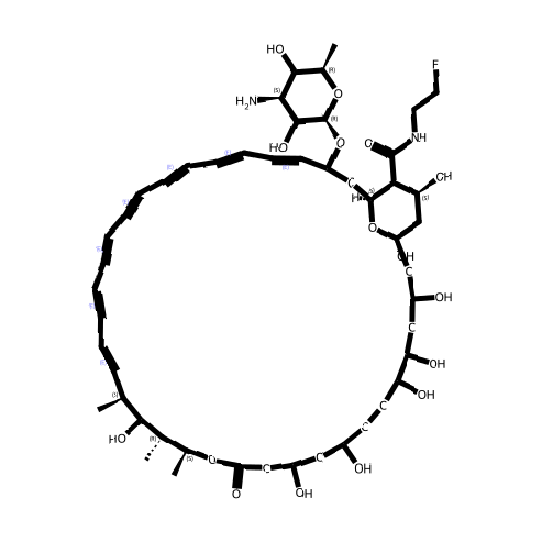 C[C@@H]1OC(=O)CC(O)CC(O)CCC(O)C(O)CC(O)CC2(O)C[C@H](O)C(C(=O)NCCF)[C@H](CC(O[C@@H]3O[C@H](C)C(O)[C@H](N)C3O)/C=C/C=C/C=C/C=C/C=C/C=C/C=C/[C@H](C)C(O)[C@H]1C)O2